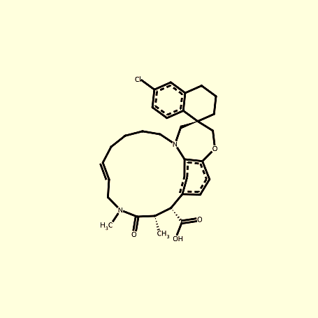 C[C@@H]1C(=O)N(C)C/C=C/CCCCN2C[C@@]3(CCCc4cc(Cl)ccc43)COc3ccc(cc32)[C@@H]1C(=O)O